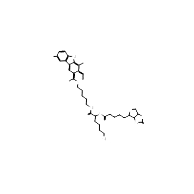 Cc1c2cc[n+](CCCCCNC(=O)C(CCCCN)NC(=O)CCCCC3SCC4NC(=O)NC43)c(C)c2cc2c1[nH]c1ccc(O)cc12